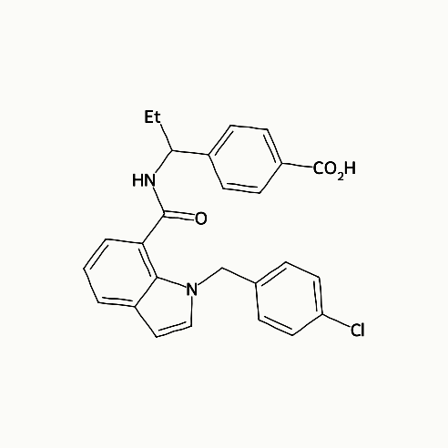 CCC(NC(=O)c1cccc2ccn(Cc3ccc(Cl)cc3)c12)c1ccc(C(=O)O)cc1